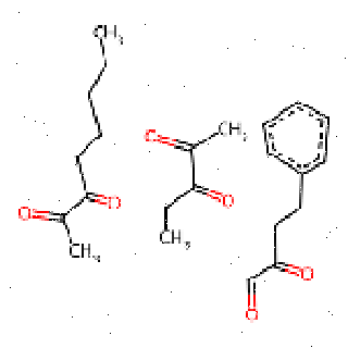 CCC(=O)C(C)=O.CCCCCC(=O)C(C)=O.O=CC(=O)CCc1ccccc1